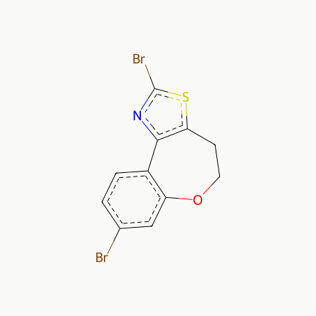 Brc1ccc2c(c1)OCCc1sc(Br)nc1-2